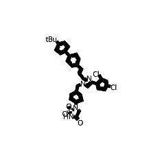 CC(C)(C)c1ccc(-c2ccc(C=Cc3nc(-c4ccc(Cl)cc4Cl)cn3Cc3ccc(N4CC(=O)NS4(=O)=O)cc3)cc2)cc1